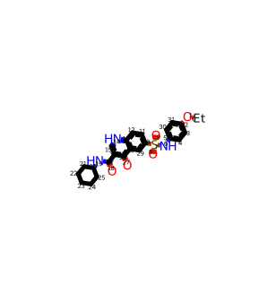 CCOc1ccc(NS(=O)(=O)c2ccc3[nH]cc(C(=O)NC4CCCCC4)c(=O)c3c2)cc1